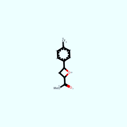 COC(=O)C1CC(c2ccc(C(F)(F)F)cc2)O1